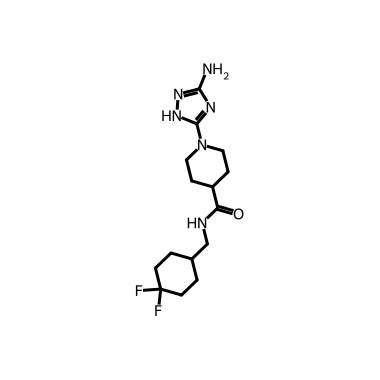 Nc1n[nH]c(N2CCC(C(=O)NCC3CCC(F)(F)CC3)CC2)n1